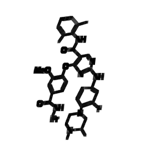 COc1cc(C(=O)NC(C)C)ccc1Oc1nc(Nc2ccc(N3CCN(C)C(C)C3)c(F)c2)ncc1C(=O)Nc1c(C)cccc1C